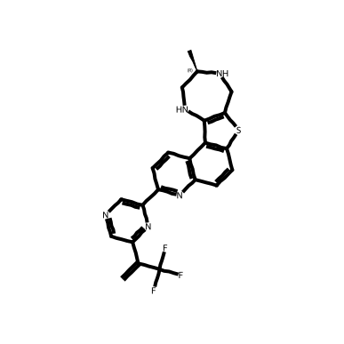 C=C(c1cncc(-c2ccc3c(ccc4sc5c(c43)NC[C@@H](C)NC5)n2)n1)C(F)(F)F